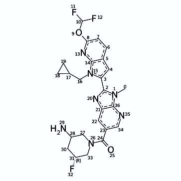 Cn1c(-c2cc3ccc(OC(F)F)nc3n2CC2CC2)nc2cc(C(=O)N3CC(N)C[C@@H](F)C3)cnc21